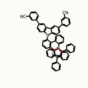 N#Cc1cccc(-c2ccc3c(c2)c2cc(-c4cccc(C#N)c4)ccc2n3-c2cccc(-c3nc(-c4ccccc4)cc(-c4ccccc4)n3)c2-c2ccccc2-n2c3ccccc3c3ccccc32)c1